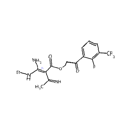 CCN/C(N)=C(\C(C)=N)C(=O)OCC(=O)c1cccc(C(F)(F)F)c1F